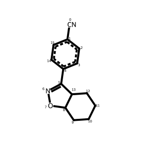 N#Cc1ccc(C2=NOC3CCCCC23)cc1